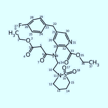 CCOC(=O)CC(=O)N(CCN1CCCCS1(=O)=O)c1cc(Cc2ccc(F)cc2)cnc1C(=O)OCC